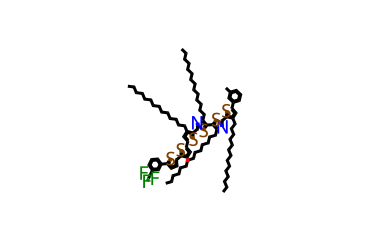 CCCCCCCCCCCCCCc1cc(-c2cccc(C)c2)sc1-c1nc(CCCCCCCCCCCCCC)c(-c2sc(-c3sc(-c4ccc(-c5ccc(-c6cccc(C(F)(F)F)c6)s5)s4)cc3CCCCCCCCCCCCCC)nc2CCCCCCCCCCCCCC)s1